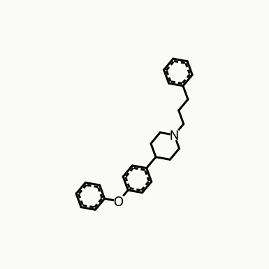 c1ccc(CCCN2CCC(c3ccc(Oc4ccccc4)cc3)CC2)cc1